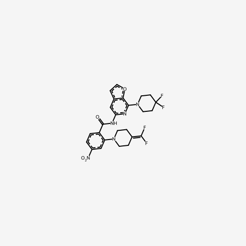 O=C(Nc1cc2ccoc2c(N2CCC(F)(F)CC2)n1)c1ccc([N+](=O)[O-])cc1N1CCC(=C(F)F)CC1